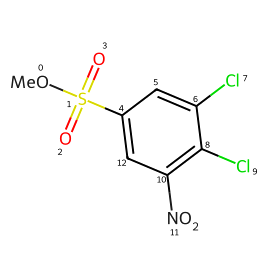 COS(=O)(=O)c1cc(Cl)c(Cl)c([N+](=O)[O-])c1